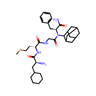 CSCC[C@@H](NC(=O)[C@@H](N)CC1CCCCC1)C(=O)NCC(=O)N(C1C2CC3CC(C2)CC1C3)[C@@H](Cc1ccccc1)C(N)=O